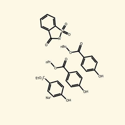 CCCCOC(=O)c1ccc(O)cc1.CCCOC(=O)c1ccc(O)cc1.CCOC(=O)c1ccc(O)cc1.O=C1[N-]S(=O)(=O)c2ccccc21.[Na+]